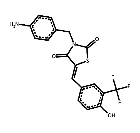 Nc1ccc(CN2C(=O)S/C(=C\c3ccc(O)c(C(F)(F)F)c3)C2=O)cc1